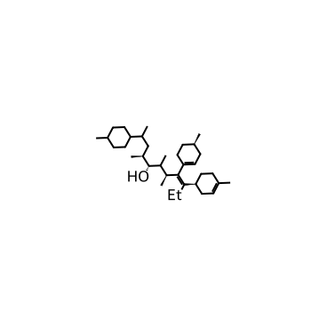 CC/C(=C(/C1=CC[C@H](C)CC1)[C@@H](C)C(C)[C@H](O)[C@@H](C)CC(C)C1CCC(C)CC1)[C@@H]1CC=C(C)CC1